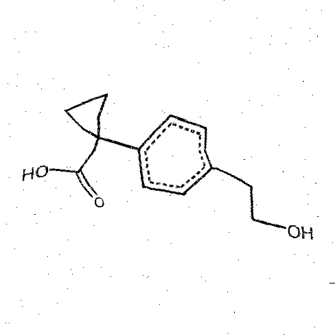 O=C(O)C1(c2ccc(CCO)cc2)CC1